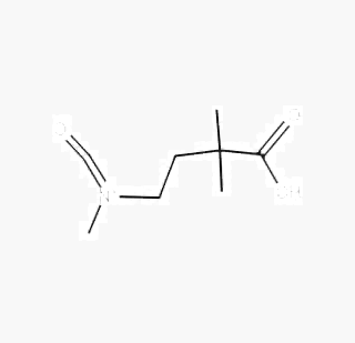 C[N+](=C=O)CCC(C)(C)C(=O)O